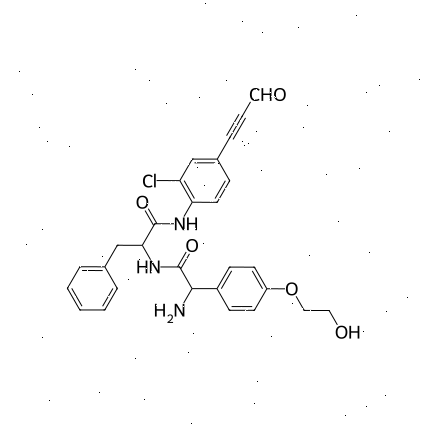 NC(C(=O)NC(Cc1ccccc1)C(=O)Nc1ccc(C#CC=O)cc1Cl)c1ccc(OCCO)cc1